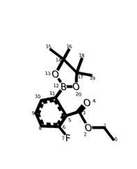 CCOC(=O)c1c(F)cccc1B1OC(C)(C)C(C)(C)O1